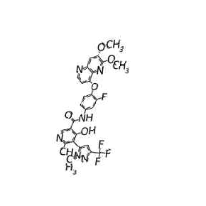 COc1cc2nccc(Oc3ccc(NC(=O)c4cnc(C)c(-c5cc(C(F)(F)F)nn5C)c4O)cc3F)c2nc1OC